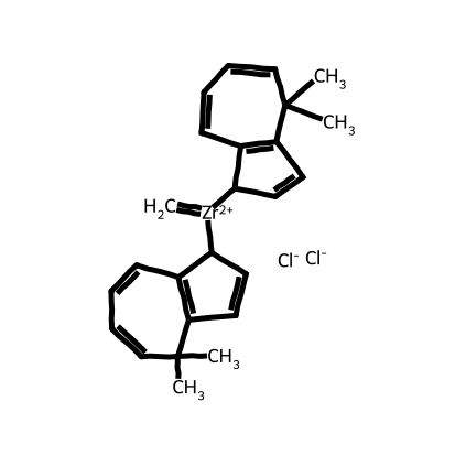 [CH2]=[Zr+2]([CH]1C=CC2=C1C=CC=CC2(C)C)[CH]1C=CC2=C1C=CC=CC2(C)C.[Cl-].[Cl-]